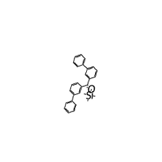 C[Si](C)(C)O[C](c1cccc(-c2ccccc2)c1)c1cccc(-c2ccccc2)c1